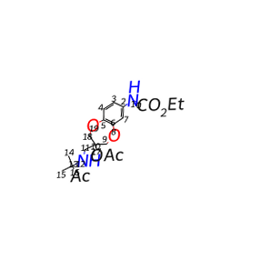 CCOC(=O)Nc1ccc2c(c1)OCC(CNC(C)(C)C(C)=O)(OC(C)=O)CO2